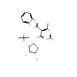 Cc1nc(C#N)nc(N[C@@H]2C[C@H](CO)[C@@H](C)[C@H]2OC(C)(C)O)c1-c1nc2ccccc2s1